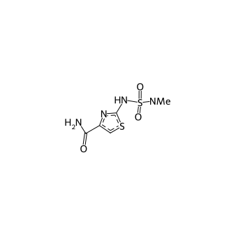 CNS(=O)(=O)Nc1nc(C(N)=O)cs1